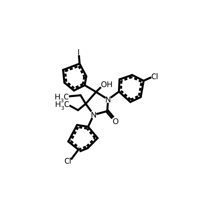 CCC1(CC)N(c2ccc(Cl)cc2)C(=O)N(c2ccc(Cl)cc2)C1(O)c1cccc(I)c1